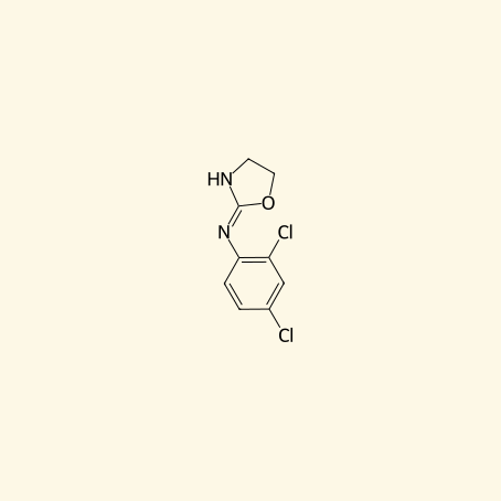 Clc1ccc(N=C2NCCO2)c(Cl)c1